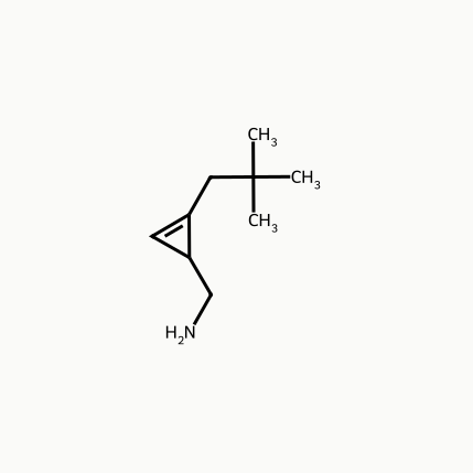 CC(C)(C)CC1=CC1CN